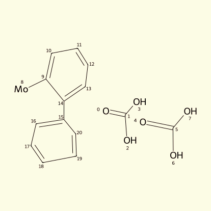 O=C(O)O.O=C(O)O.[Mo][c]1ccccc1-c1ccccc1